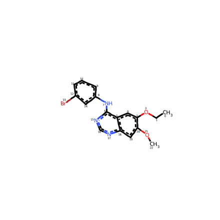 CCOc1cc2c(Nc3cccc(Br)c3)ncnc2cc1OC